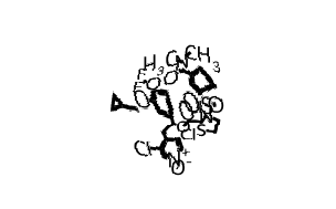 CN(C)C(=O)c1cccc(S(=O)(=O)N2CCSC2C(=O)OC(Cc2c(Cl)c[n+]([O-])cc2Cl)c2ccc(OC(F)F)c(OCC3CC3)c2)c1